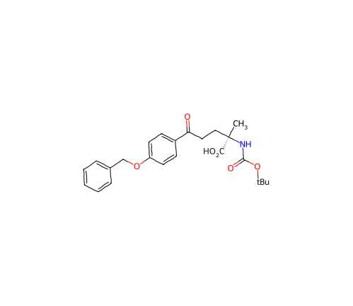 CC(C)(C)OC(=O)N[C@](C)(CCC(=O)c1ccc(OCc2ccccc2)cc1)C(=O)O